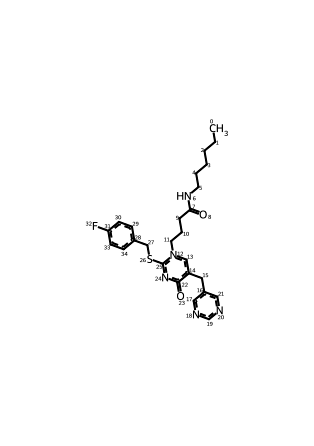 CCCCCCNC(=O)CCCn1cc(Cc2cncnc2)c(=O)nc1SCc1ccc(F)cc1